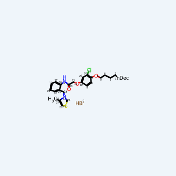 Br.CCCCCCCCCCCCCCOc1ccc(OCC(=O)Nc2ccccc2CN2CSC=C2C)cc1Cl